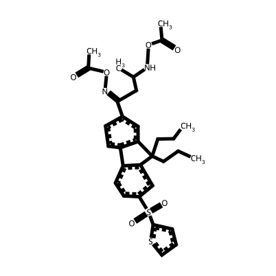 CCCC1(CCC)c2cc(/C(CC(C)NOC(C)=O)=N/OC(C)=O)ccc2-c2ccc(S(=O)(=O)c3cccs3)cc21